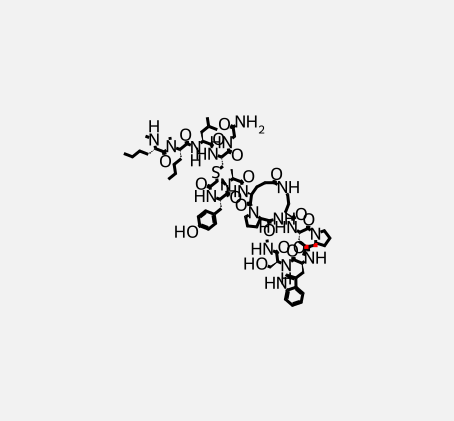 CCCC[C@H](NC)C(=O)N(C)[C@@H](CCCC)C(=O)N[C@@H](CC(C)C)C(=O)N[C@@H](CSCC(=O)N[C@@H](Cc1ccc(O)cc1)C(=O)N(C)[C@@H](C)C(=O)N[C@H]1CCC(=O)NCC[C@@H](C(=O)N[C@@H](CC(C)C)C(=O)N2CCC[C@H]2C(=O)N[C@@H](Cc2c[nH]c3ccccc23)C(=O)N[C@@H](CO)C(=O)NC)NC(=O)[C@@H]2CCCN2C1=O)C(=O)NCC(N)=O